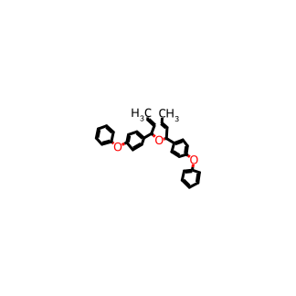 CC=CC(OC(C=CC)c1ccc(Oc2ccccc2)cc1)c1ccc(Oc2ccccc2)cc1